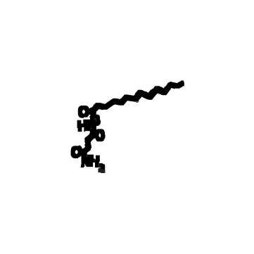 CCCCCCCCCCCCCC(=O)ONC(=O)CCC(N)=O